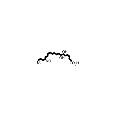 CC/C=C\C[C@@H](/C=C/C=C\C=C\C=C\[C@@H](O)[C@@H](O)C/C=C\CCC(=O)O)N=O